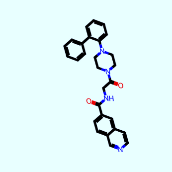 O=C(NCC(=O)N1CCN(c2ccccc2-c2ccccc2)CC1)c1ccc2cnccc2c1